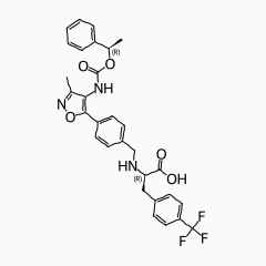 Cc1noc(-c2ccc(CN[C@H](Cc3ccc(C(F)(F)F)cc3)C(=O)O)cc2)c1NC(=O)O[C@H](C)c1ccccc1